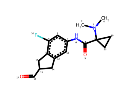 CN(C)C1(C(=O)Nc2cc(F)c3c(c2)CC(C=O)C3)CC1